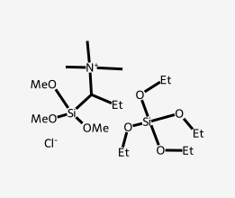 CCC([N+](C)(C)C)[Si](OC)(OC)OC.CCO[Si](OCC)(OCC)OCC.[Cl-]